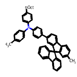 CCCCCCCCc1ccc(N(c2ccc(C)cc2)c2ccc(-c3ccc4c(c3)C3(c5ccccc5-c5ccccc53)c3cc(C)ccc3-4)cc2)cc1